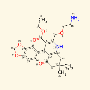 CCOC(=O)C1=C(COCCN)NC2=C(C(=O)CC(C)(C)C2)C1c1ccc2c(c1)OCO2